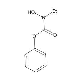 CCN(O)C(=O)Oc1ccccc1